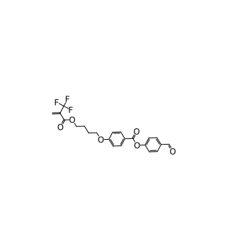 C=C(C(=O)OCCCCOc1ccc(C(=O)Oc2ccc(C=O)cc2)cc1)C(F)(F)F